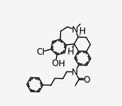 CC(=O)N(CCCCc1ccccc1)c1ccc2c(c1)[C@@H]1c3cc(O)c(Cl)cc3CCN(C)[C@H]1CC2